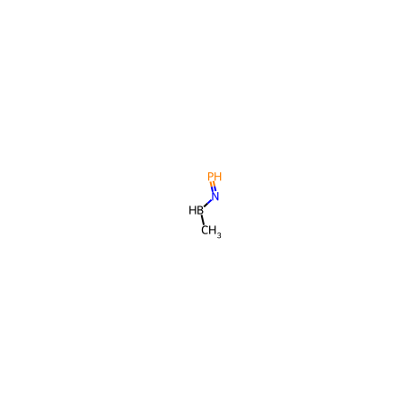 CBN=P